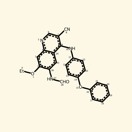 CCOc1cc2ncc(C#N)c(Nc3ccc(Oc4ccccc4)cc3)c2cc1NC=O